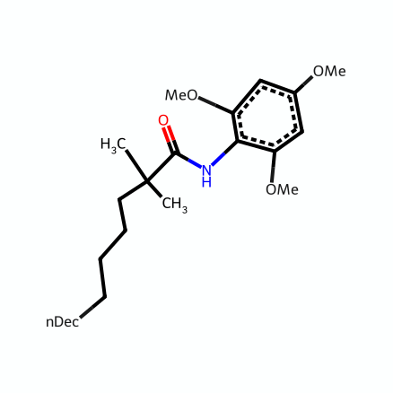 CCCCCCCCCCCCCCC(C)(C)C(=O)Nc1c(OC)cc(OC)cc1OC